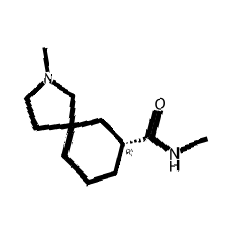 CNC(=O)[C@@H]1CCCC2(CCN(C)C2)C1